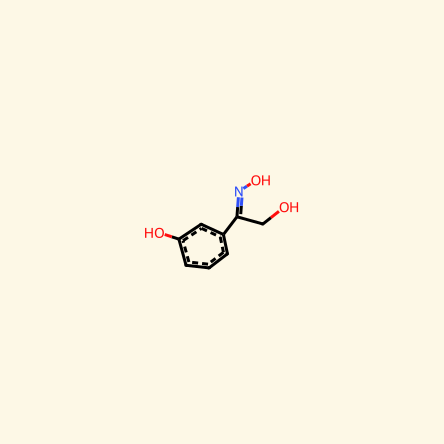 OCC(=NO)c1cccc(O)c1